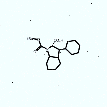 CC(C)(C)OC(=O)N1C2CCCCC2[C@H](C2CCCCC2)[C@H]1C(=O)O